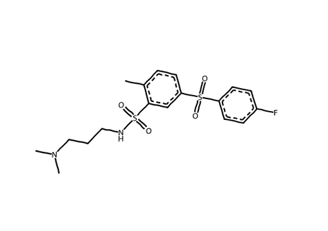 Cc1ccc(S(=O)(=O)c2ccc(F)cc2)cc1S(=O)(=O)NCCCN(C)C